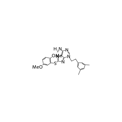 COc1ccc(OC)c(Sc2nc3c(N)ncn(CCc4cc(C)cc(C)c4)c-3n2)c1